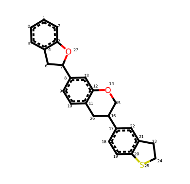 c1ccc2c(c1)CC(c1ccc3c(c1)OCC(c1ccc4c(c1)CCS4)C3)O2